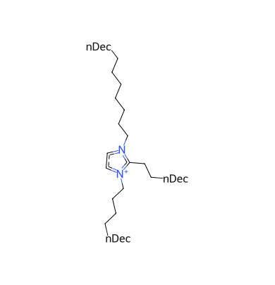 CCCCCCCCCCCCCCCCCn1cc[n+](CCCCCCCCCCCCCC)c1CCCCCCCCCCCC